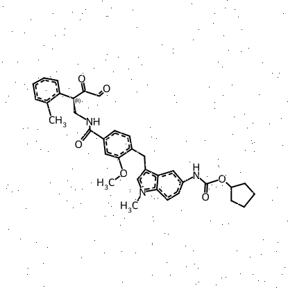 COc1cc(C(=O)NC[C@H](C(=O)C=O)c2ccccc2C)ccc1Cc1cn(C)c2ccc(NC(=O)OC3CCCC3)cc12